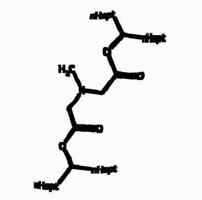 CCCCCCCC(CCCCCCC)OC(=O)CN(C)CC(=O)OC(CCCCCCC)CCCCCCC